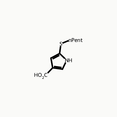 CCCCCSc1cc(C(=O)O)c[nH]1